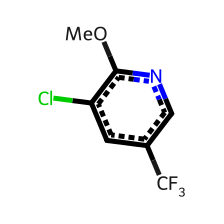 [CH2]Oc1ncc(C(F)(F)F)cc1Cl